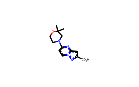 CC1(C)CN(c2ccn3nc(C(=O)O)cc3n2)CCO1